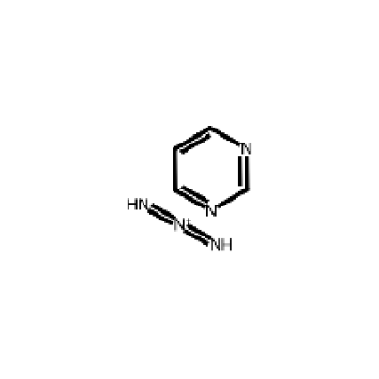 N=[N+]=N.c1cncnc1